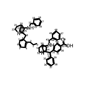 CCCc1ccccc1CC1C(NCc2ccccc2)C2CCN1CC2.O=C(O)c1ccc(C(c2ccccc2)C2C(NCc3ccccc3)C3CCN2CC3)cc1